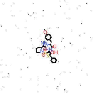 COc1ccc(C[C@@H](C(=O)NO)n2cc(C3CCCCN3S(=O)(=O)c3ccc(-c4ccccc4)s3)nn2)cc1